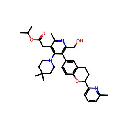 Cc1cccc(C2CCc3cc(-c4c(CO)nc(C)c(CC(=O)OC(C)C)c4N4CCC(C)(C)CC4)ccc3O2)n1